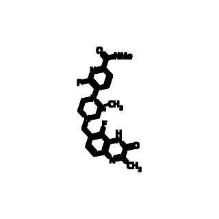 CNC(=O)c1ccc(N2CCN(Cc3ccc4nc(C)c(=O)[nH]c4c3F)C[C@H]2C)c(F)n1